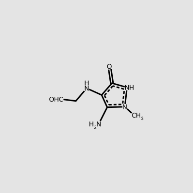 Cn1[nH]c(=O)c(NCC=O)c1N